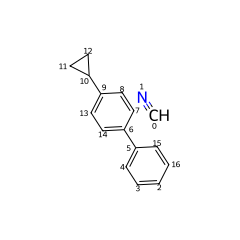 C#N.c1ccc(-c2ccc(C3CC3)cc2)cc1